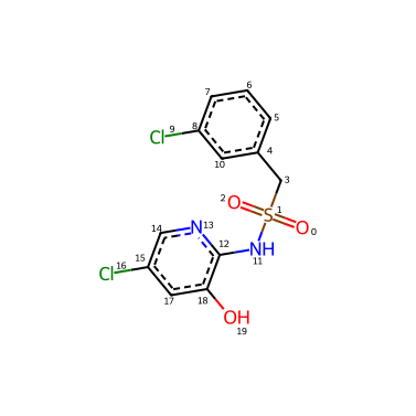 O=S(=O)(Cc1cccc(Cl)c1)Nc1ncc(Cl)cc1O